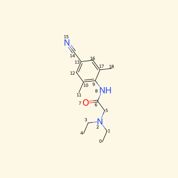 CCN(CC)CC(=O)Nc1c(C)cc(C#N)cc1C